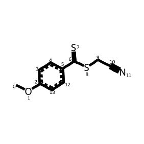 COc1ccc(C(=S)SCC#N)cc1